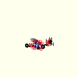 CC(C)(C)OC(=O)N[C@H](CC(=O)OCc1ccccc1)C(=O)N1CC(Oc2ccc(CCB3O[C@@H]4C[C@@H]5C[C@@H](C5(C)C)[C@]4(C)O3)c(OC(=O)OC(C)(C)C)c2C(=O)O)C1